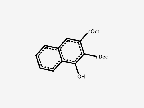 CCCCCCCCCCc1c(CCCCCCCC)cc2ccccc2c1O